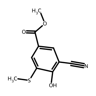 COC(=O)c1cc(C#N)c(O)c(SC)c1